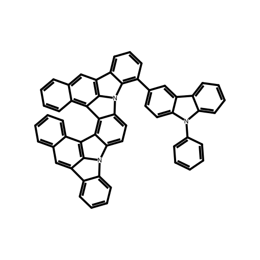 c1ccc(-n2c3ccccc3c3cc(-c4cccc5c6cc7ccccc7c7c8c9c%10c%11ccccc%11cc%11c%12ccccc%12n(c9ccc8n(c45)c67)c%11%10)ccc32)cc1